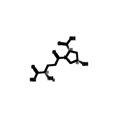 N[C@@H](CCC(=O)N1C[C@@H](O)C[C@H]1C(=O)O)C(=O)O